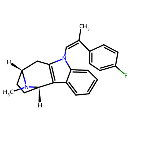 C/C(=C/n1c2c(c3ccccc31)[C@@H]1CC[C@H](C2)N1C)c1ccc(F)cc1